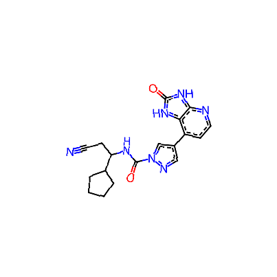 N#CCC(NC(=O)n1cc(-c2ccnc3[nH]c(=O)[nH]c23)cn1)C1CCCC1